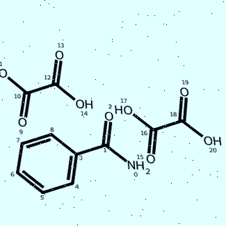 NC(=O)c1ccccc1.O=C(O)C(=O)O.O=C(O)C(=O)O